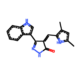 Cc1cc(C)c(C=C2C(=O)NN=C2c2c[nH]c3ccccc23)[nH]1